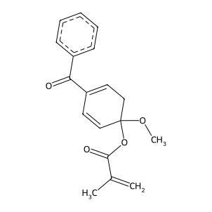 C=C(C)C(=O)OC1(OC)C=CC(C(=O)c2ccccc2)=CC1